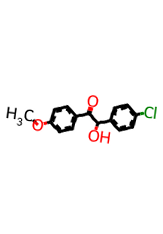 COc1ccc(C(=O)C(O)c2ccc(Cl)cc2)cc1